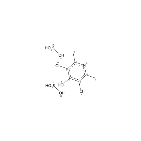 Cc1nc(C)c(Cl)c(O)c1Cl.O=S(=O)(O)O.O=S(=O)(O)O